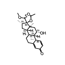 COC(=S)[C@@]1(OC(C)=O)[C@@H](C)C[C@H]2[C@@H]3CCC4=CC(=O)C=C[C@]4(C)[C@H]3[C@@H](O)C[C@@]21C